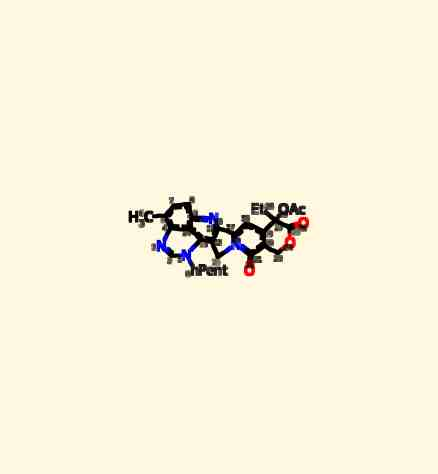 CCCCCN1C=Nc2c(C)ccc3nc4c(c1c23)Cn1c-4cc2c(c1=O)COC(=O)C2(CC)OC(C)=O